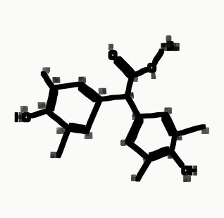 CCCCOC(=O)C(c1cc(C)c(O)c(C)c1)c1cc(C)c(O)c(C)c1